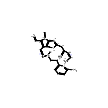 CN(CCc1cccc(N)n1)/N=C\c1c(C=O)n(C)c2nc(CC(=N)/C=C\N)sc12